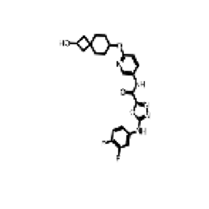 O=C(Nc1ccc(OC2CCC3(CC2)CC(O)C3)nc1)c1nnc(Nc2ccc(F)c(F)c2)o1